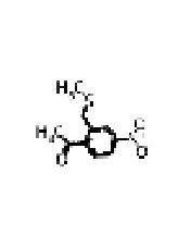 CSCc1cc([N+](=O)[O-])ccc1C(C)=O